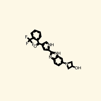 O=C(c1c[nH]c(-c2nc3ccc(N4CC(O)C4)cc3[nH]2)c1)c1ccccc1C(F)(F)F